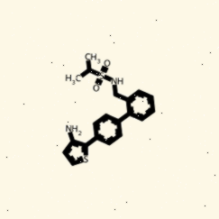 CC(C)S(=O)(=O)NCc1ccccc1-c1ccc(-c2sccc2N)cc1